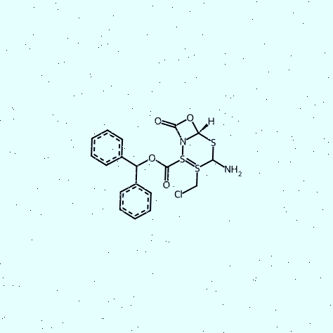 NC1S[C@H]2OC(=O)N2S(C(=O)OC(c2ccccc2)c2ccccc2)=S1CCl